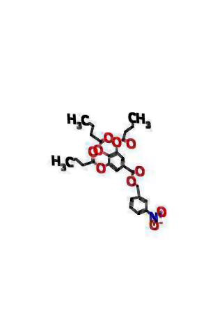 CCCC(=O)Oc1cc(C(=O)OCc2cccc([N+](=O)[O-])c2)cc(OC(=O)CCC)c1OC(=O)CCC